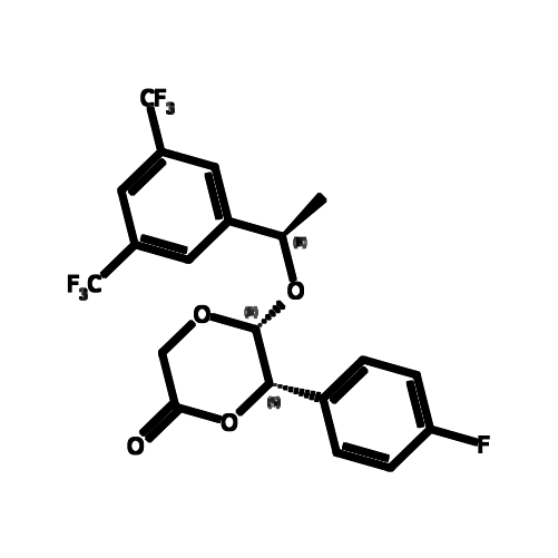 C[C@@H](O[C@H]1OCC(=O)O[C@H]1c1ccc(F)cc1)c1cc(C(F)(F)F)cc(C(F)(F)F)c1